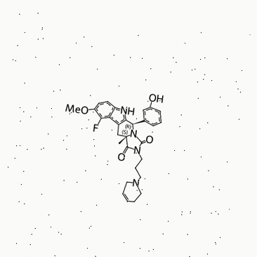 COc1ccc2[nH]c3c(c2c1F)C[C@@]1(C)C(=O)N(CCCN2CC=CCC2)C(=O)N1[C@@H]3c1cccc(O)c1